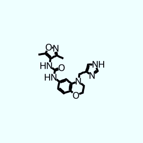 Cc1noc(C)c1NC(=O)Nc1ccc2c(c1)N(Cc1c[nH]cn1)CCO2